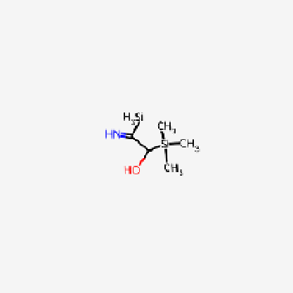 C[Si](C)(C)C(O)C(=N)[SiH3]